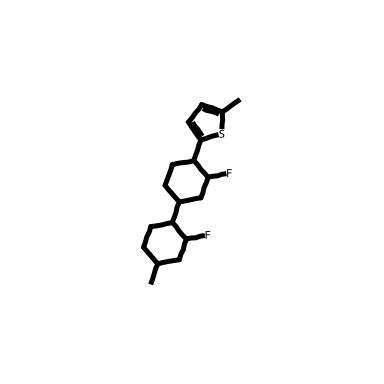 Cc1ccc(C2CCC(C3CCC(C)CC3F)CC2F)s1